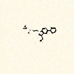 Cc1ccccc1-c1ccc2c(c1)c(CC(C)(C)C)cn2CCN[S+]([O-])C1CC1